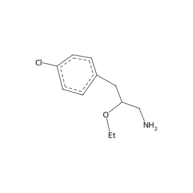 CCOC(CN)Cc1ccc(Cl)cc1